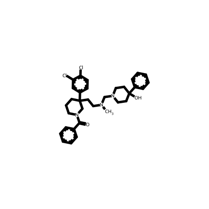 CN(CCC1(c2ccc(Cl)c(Cl)c2)CCCN(C(=O)c2ccccc2)C1)CN1CCC(O)(c2ccccc2)CC1